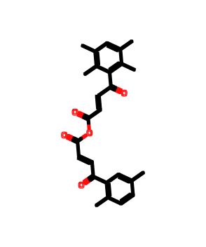 Cc1ccc(C)c(C(=O)C=CC(=O)OC(=O)C=CC(=O)c2c(C)c(C)cc(C)c2C)c1